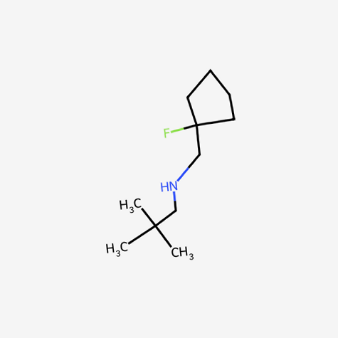 CC(C)(C)CNCC1(F)CCCC1